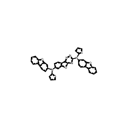 c1csc(N(c2ccc3c(c2)oc2ccccc23)c2ccc3c(c2)oc2nc(N(c4ccc5c(c4)oc4ccccc45)c4cccs4)nnc23)c1